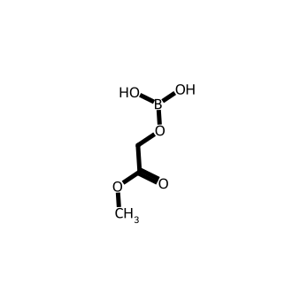 COC(=O)COB(O)O